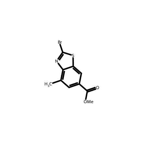 COC(=O)c1cc(C)c2nc(Br)sc2c1